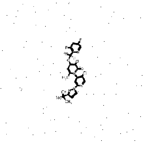 [2H]C([2H])(Oc1cc(C)n(-c2cc(-n3ccc(C(C)(C)O)n3)ncc2Cl)c(=O)c1Cl)c1ncc(F)cc1F